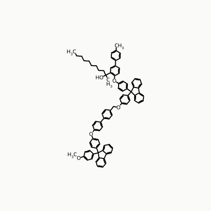 CCCCCCCCCC(C)(O)c1cc(-c2ccc(C)cc2)ccc1Oc1ccc(C2(c3ccc(OCc4ccc(-c5ccc(Oc6ccc(C7(c8ccc(OC)cc8)c8ccccc8-c8ccccc87)cc6)cc5)cc4)cc3)c3ccccc3-c3ccccc32)cc1